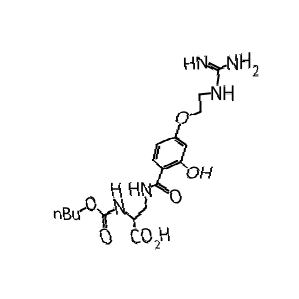 CCCCOC(=O)N[C@@H](CNC(=O)c1ccc(OCCNC(=N)N)cc1O)C(=O)O